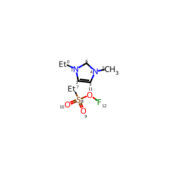 CCN1C=CN(C)C1.CCS(=O)(=O)OF